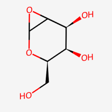 OC[C@H]1OC2OC2[C@@H](O)[C@H]1O